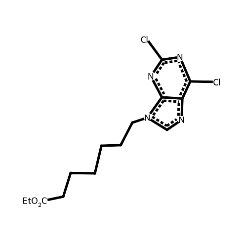 CCOC(=O)CCCCCCn1cnc2c(Cl)nc(Cl)nc21